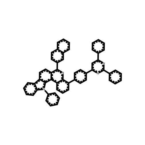 c1ccc(-c2cc(-c3ccc(-c4cccc5c4nc(-c4ccc6ccccc6c4)c4ccc6c7ccccc7n(-c7ccccc7)c6c45)cc3)nc(-c3ccccc3)n2)cc1